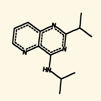 CC(C)Nc1nc(C(C)C)nc2cccnc12